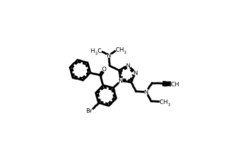 C#CCN(CC)Cc1nnc(CN(C)C)n1-c1ccc(Br)cc1C(=O)c1ccccc1